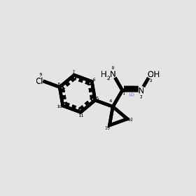 N/C(=N\O)C1(c2ccc(Cl)cc2)CC1